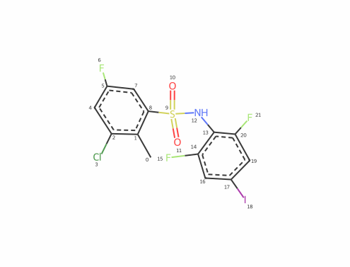 Cc1c(Cl)cc(F)cc1S(=O)(=O)Nc1c(F)cc(I)cc1F